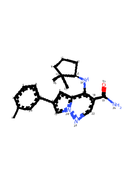 Cc1cccc(-c2cc3c(N[C@@H]4CCCC4(C)C)c(C(N)=O)cnn3c2)c1